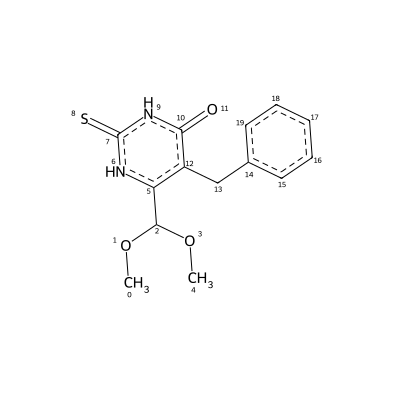 COC(OC)c1[nH]c(=S)[nH]c(=O)c1Cc1ccccc1